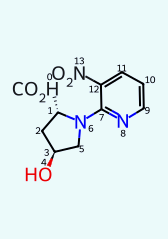 O=C(O)[C@H]1C[C@H](O)CN1c1ncccc1[N+](=O)[O-]